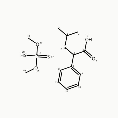 CC(C)SC(C(=O)O)c1ccccc1.COP(=S)(S)OC